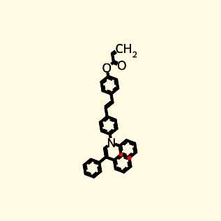 C=CC(=O)Oc1ccc(C=Cc2ccc(N(C=C(c3ccccc3)c3ccccc3)c3ccccc3)cc2)cc1